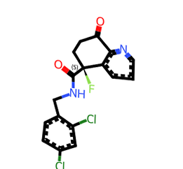 O=C1CC[C@@](F)(C(=O)NCc2ccc(Cl)cc2Cl)c2cccnc21